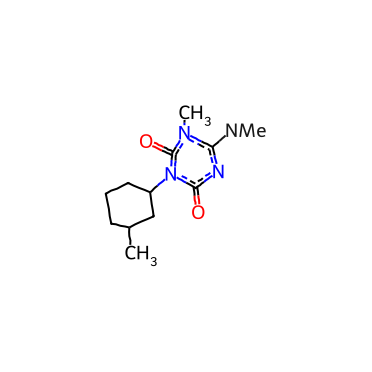 CNc1nc(=O)n(C2CCCC(C)C2)c(=O)n1C